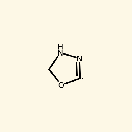 [C]1=NNCO1